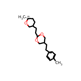 Cc1ccc(CCC2COC(CCC3CC[C@@H](C)OC3)OC2)cc1